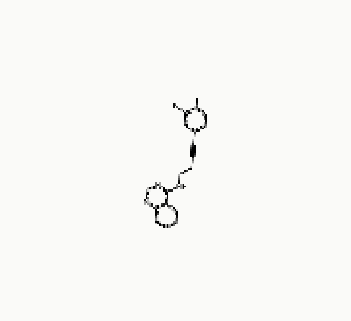 Fc1ccc(C#CCCNc2ncnc3ccccc23)cc1F